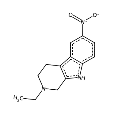 CCN1CCc2c([nH]c3ccc([N+](=O)[O-])cc23)C1